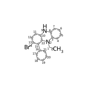 CCN1c2ccccc2Nc2ccc(Br)c(-c3ccccc3)c21